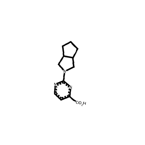 O=C(O)c1ccnc(N2CC3CCCC3C2)n1